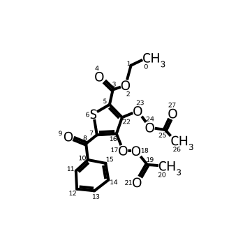 CCOC(=O)c1sc(C(=O)c2ccccc2)c(OOC(C)=O)c1OOC(C)=O